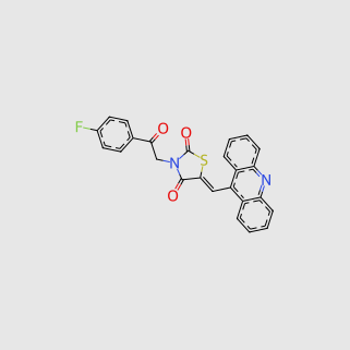 O=C(CN1C(=O)SC(=Cc2c3ccccc3nc3ccccc23)C1=O)c1ccc(F)cc1